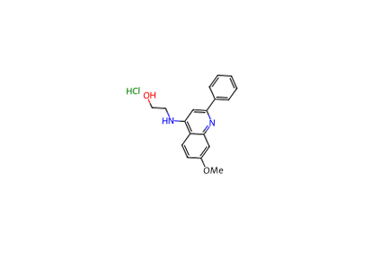 COc1ccc2c(NCCO)cc(-c3ccccc3)nc2c1.Cl